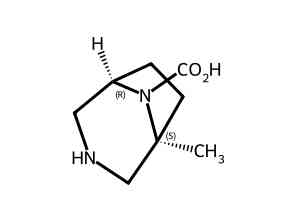 C[C@]12CC[C@H](CNC1)N2C(=O)O